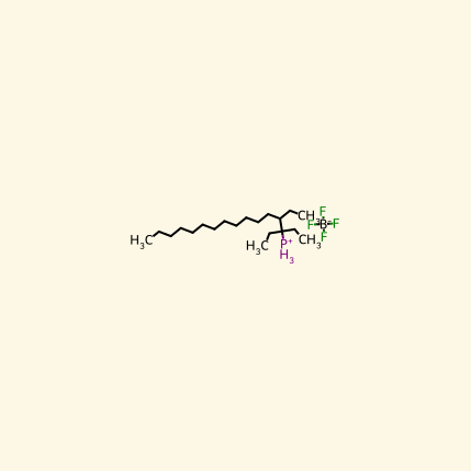 CCCCCCCCCCCCC(CC)C([PH3+])(CC)CC.F[B-](F)(F)F